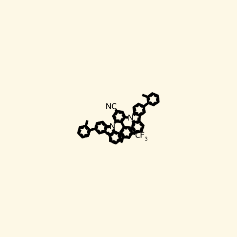 Cc1cc(-c2c(-n3c4ccccc4c4cc(-c5ccccc5C)ccc43)cc(C#N)cc2-n2c3ccccc3c3cc(-c4ccccc4C)ccc32)cc(C(F)(F)F)c1